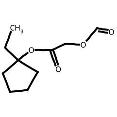 CCC1(OC(=O)COC=O)CCCC1